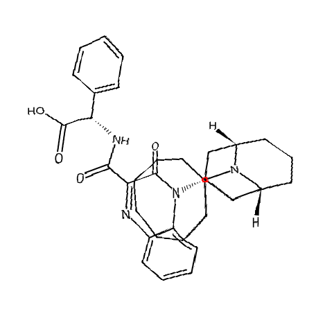 O=C(N[C@H](C(=O)O)c1ccccc1)c1nc2ccccc2n([C@H]2C[C@H]3CCC[C@@H](C2)N3C2CCCCCCC2)c1=O